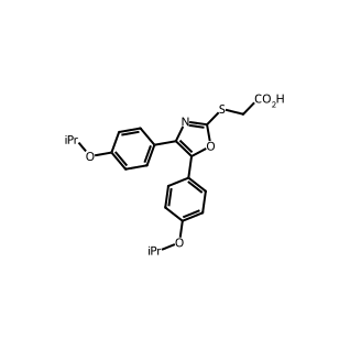 CC(C)Oc1ccc(-c2nc(SCC(=O)O)oc2-c2ccc(OC(C)C)cc2)cc1